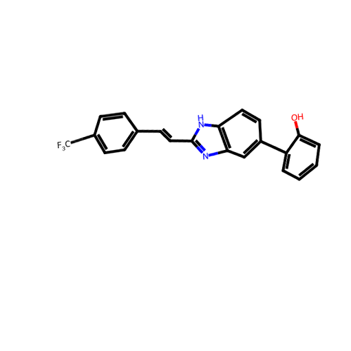 Oc1ccccc1-c1ccc2[nH]c(C=Cc3ccc(C(F)(F)F)cc3)nc2c1